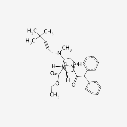 CCOC(=O)[C@@H]1[C@@H]2CC[C@@H](CC2N(C)CC#CC(C)(C)C)N1C(=O)C(c1ccccc1)c1ccccc1